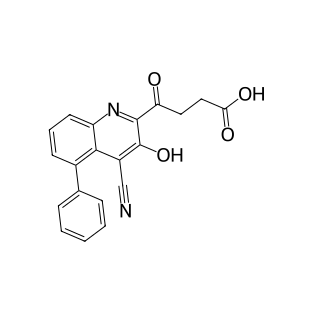 N#Cc1c(O)c(C(=O)CCC(=O)O)nc2cccc(-c3ccccc3)c12